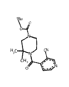 CC(C)(C)OC(=O)N1CCN(C(=O)c2ccncc2C#N)C(C)(C)C1